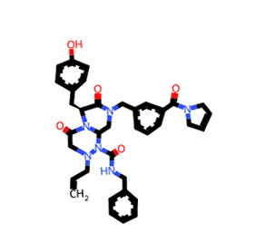 C=CCN1CC(=O)N2C(CN(Cc3cccc(C(=O)N4CC=CC4)c3)C(=O)[C@@H]2Cc2ccc(O)cc2)N1C(=O)NCc1ccccc1